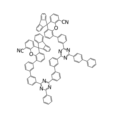 N#Cc1cccc2c1Oc1c(-c3cccc(-c4cccc(-c5nc(-c6ccccc6)nc(-c6cccc(-c7cccc(-c8nc(-c9ccc(-c%10ccccc%10)cc9)nc(-c9cccc(-c%10cccc%11c%10Oc%10c(C#N)cccc%10C%11%10c%11ccccc%11-c%11ccccc%11%10)c9)n8)c7)c6)n5)c4)c3)cccc1C21c2ccccc2-c2ccccc21